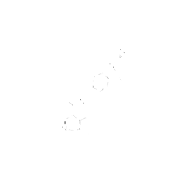 CCn1cc(C(=O)NCc2ccc(S(C)(=O)=NC#N)cc2)c(=O)c(Br)c1C